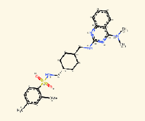 COc1cc(C)ccc1S(=O)(=O)NC[C@H]1CC[C@H](CNc2nc(N(C)C)c3ccccc3n2)CC1